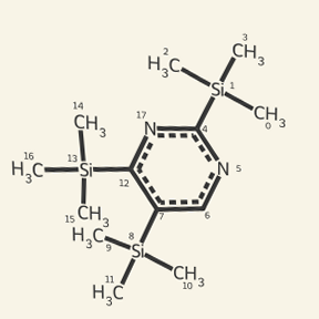 C[Si](C)(C)c1ncc([Si](C)(C)C)c([Si](C)(C)C)n1